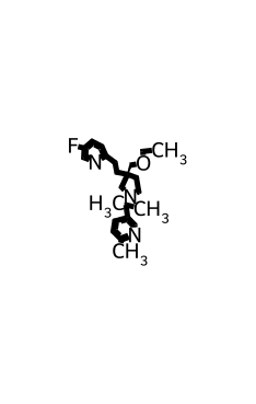 CCOC[C@@]1(CCc2ccc(F)cn2)CCN(C(C)(C)c2ccc(C)nc2)C1